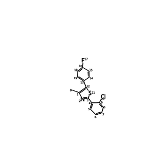 Cc1nc(-c2ccccc2Cl)sc1-c1ccc(F)cc1